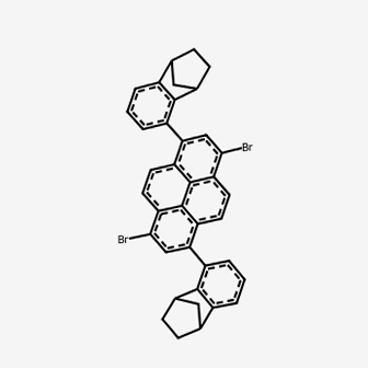 Brc1cc(-c2cccc3c2C2CCC3C2)c2ccc3c(Br)cc(-c4cccc5c4C4CCC5C4)c4ccc1c2c34